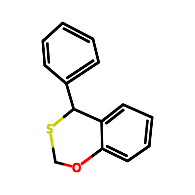 c1ccc(C2SCOc3ccccc32)cc1